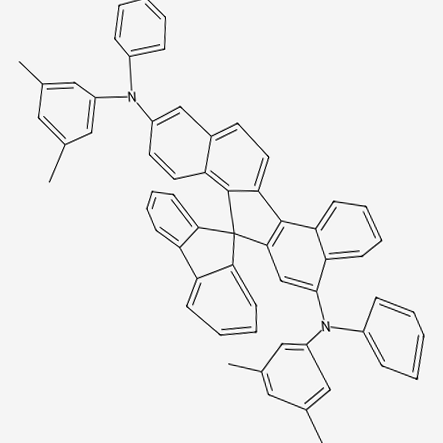 Cc1cc(C)cc(N(c2ccccc2)c2ccc3c4c(ccc3c2)-c2c(cc(N(c3ccccc3)c3cc(C)cc(C)c3)c3ccccc23)C42c3ccccc3-c3ccccc32)c1